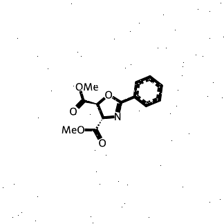 COC(=O)[C@H]1N=C(c2ccccc2)O[C@@H]1C(=O)OC